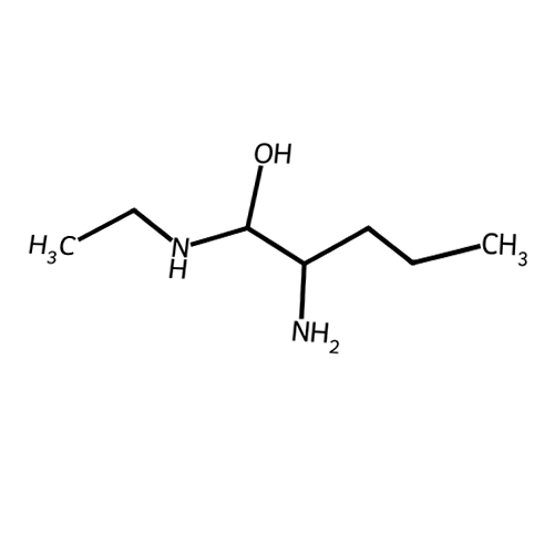 CCCC(N)C(O)NCC